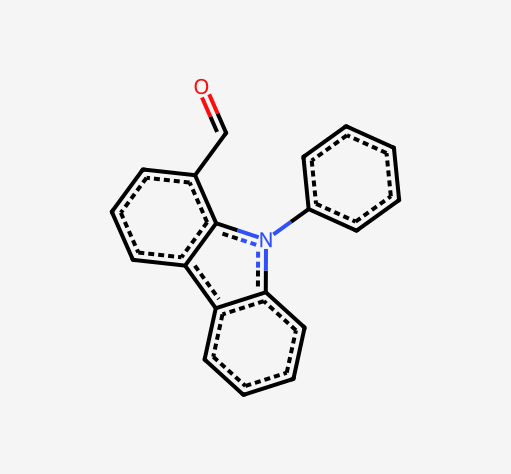 O=Cc1cccc2c3ccccc3n(-c3ccccc3)c12